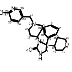 O=C1NC[C@](c2ccccc2)(C2CCOCC2)N1C1CCN(Cc2ccc(Cl)nc2)CC1